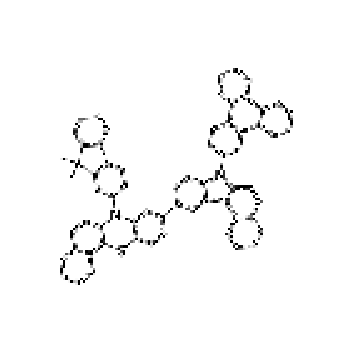 CC1(C)c2ccccc2-c2ccc(N3c4cc(-c5ccc6c(c5)c5c7ccccc7ccc5n6-c5ccc6c7ccccc7c7ccccc7c6c5)ccc4Sc4c3ccc3ccccc43)cc21